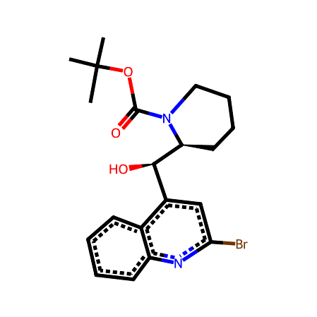 CC(C)(C)OC(=O)N1CCCC[C@H]1[C@H](O)c1cc(Br)nc2ccccc12